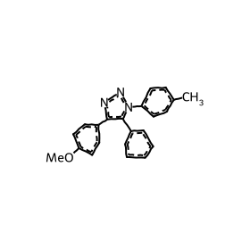 COc1ccc(-c2nnn(-c3ccc(C)cc3)c2-c2ccccc2)cc1